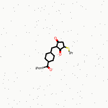 CCCC(C)C(=O)C1CCC(CC2C(=O)CC(SC(C)C)C2=O)CC1